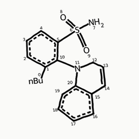 CCCCc1cccc(S(N)(=O)=O)c1N1CC=Cc2ccccc21